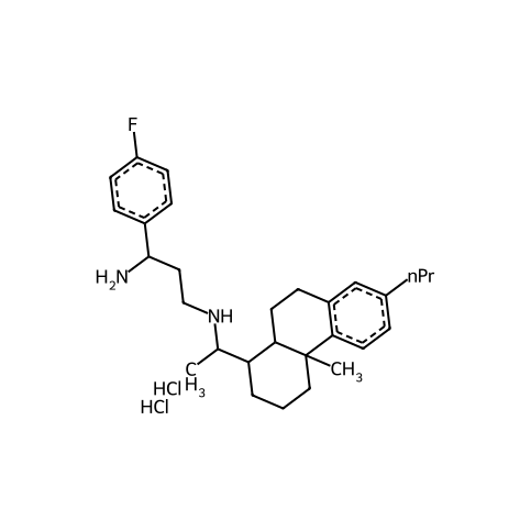 CCCc1ccc2c(c1)CCC1C(C(C)NCCC(N)c3ccc(F)cc3)CCCC21C.Cl.Cl